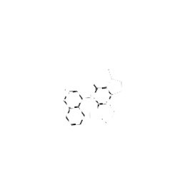 N#CCn1c2c(c(=O)n(-c3cncc4cccc(F)c34)c1=O)C(CF)CC2